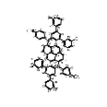 [C-]#[N+]c1ccc(N(c2cc(-c3cccc(F)c3)cc(-c3cccc(F)c3)c2)c2ccc3ccc4c(N(c5ccc(C#N)cc5)c5cc(-c6cccc(F)c6)cc(-c6cccc(F)c6)c5)ccc5ccc2c3c54)cc1